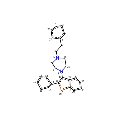 c1ccc(CCN2CCN(c3c(-c4ccccc4)sc4ccccc34)CC2)cc1